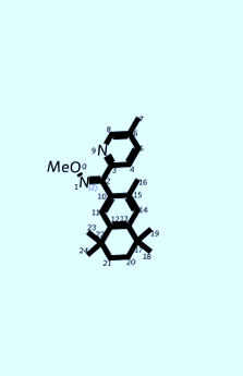 CO/N=C(\c1ccc(C)cn1)c1cc2c(cc1C)C(C)(C)CCC2(C)C